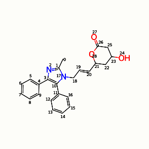 Cc1nc(-c2ccccc2)c(-c2ccccc2)n1CC=CC1CC(O)CC(=O)O1